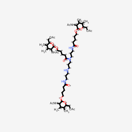 CC(=O)NC1C(OCCCCC(=O)NCCCNCCCN(CCCNC(=O)CCCCOC2OC(COC(C)=O)C(C)C(C)C2NC(C)=O)C(=O)CCCCOC2OC(COC(C)=O)C(C)C(C)C2NC(C)=O)OC(COC(C)=O)C(C)C1C